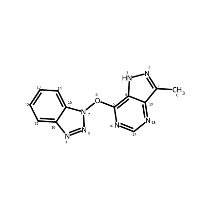 Cc1n[nH]c2c(On3nnc4ccccc43)ncnc12